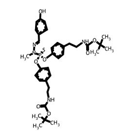 CN(/N=C/c1ccc(O)cc1)P(=S)(Oc1ccc(CCNC(=O)OC(C)(C)C)cc1)Oc1ccc(CCNC(=O)OC(C)(C)C)cc1